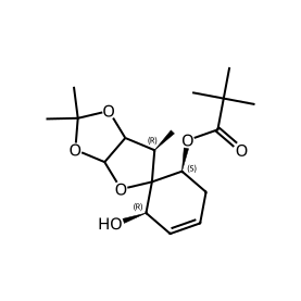 C[C@@H]1C2OC(C)(C)OC2OC12[C@H](O)C=CC[C@@H]2OC(=O)C(C)(C)C